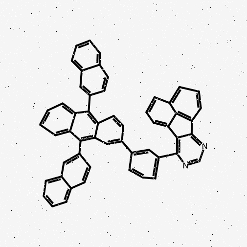 c1cc(-c2ccc3c(-c4ccc5ccccc5c4)c4ccccc4c(-c4ccc5ccccc5c4)c3c2)cc(-c2ncnc3c2-c2cccc4cccc-3c24)c1